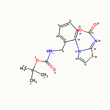 CC(C)(C)OC(=O)NCc1ccccc1-n1ccs/c1=N/C(=O)O